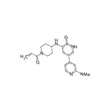 C=CC(=O)N1CCC(Nc2cc(-c3ccnc(NC)c3)c[nH]c2=O)CC1